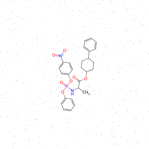 CC(NP(=O)(Oc1ccccc1)Oc1ccc([N+](=O)[O-])cc1)C(=O)OC1CCC(c2ccccc2)CC1